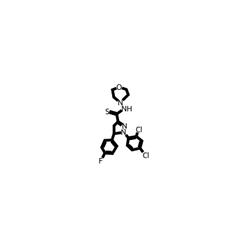 Fc1ccc(C2CC(C(=S)NN3CCOCC3)=NN2c2ccc(Cl)cc2Cl)cc1